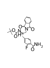 CC(C)(C)OC(=O)N[C@@H](Cc1ccc(C(N)=O)c(F)c1)CN1C(=O)c2ccccc2C1=O